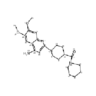 COc1cc2nc(N3CCC(C(=O)N4CCCCC4)CC3)nc(N)c2cc1OC